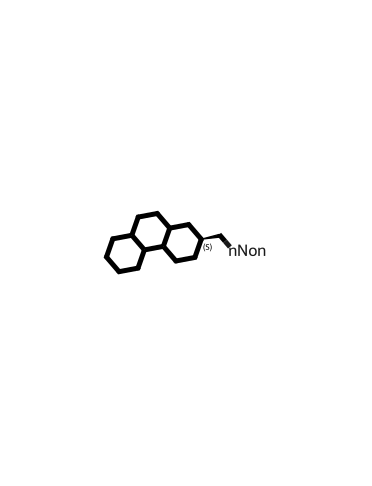 CCCCCCCCCC[C@H]1CCC2C(CCC3CCCCC32)C1